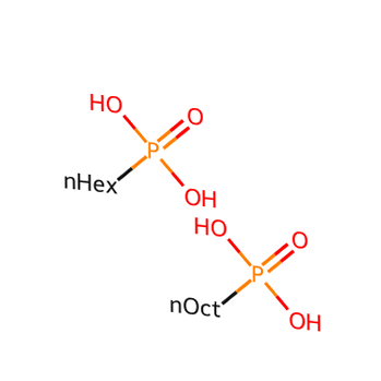 CCCCCCCCP(=O)(O)O.CCCCCCP(=O)(O)O